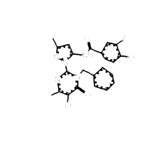 CCc1c(C)nc(-n2nc(C)cc2NC(=O)c2ccc(Cl)c(F)c2)n(Cc2ccccc2)c1=O